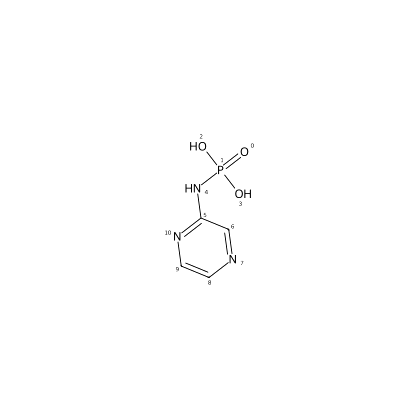 O=P(O)(O)Nc1cnccn1